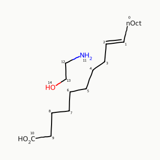 CCCCCCCCC=CCCCCCCCC(=O)O.NCCO